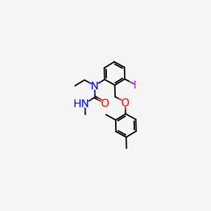 CCN(C(=O)NC)c1cccc(I)c1COc1ccc(C)cc1C